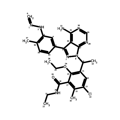 C=NNc1cc(-c2nn(C(C)c3cc(Cl)c(C)c(C(=O)NCC)c3OCC)c3ncnc(N)c23)ccc1C